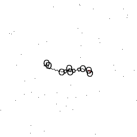 C=CC(=O)OCCCOc1ccc(-c2ccc(OC(=O)c3ccc(OCCCCCCCCC4CC(=C)C(=O)O4)cc3)cc2)cc1